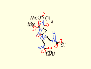 COC(=O)[C@H](C)NC(=O)C(CC(=O)N(CCNC(=O)OC(C)(C)C)CCNC(=O)OC(C)(C)C)NC(=O)OC(C)(C)C